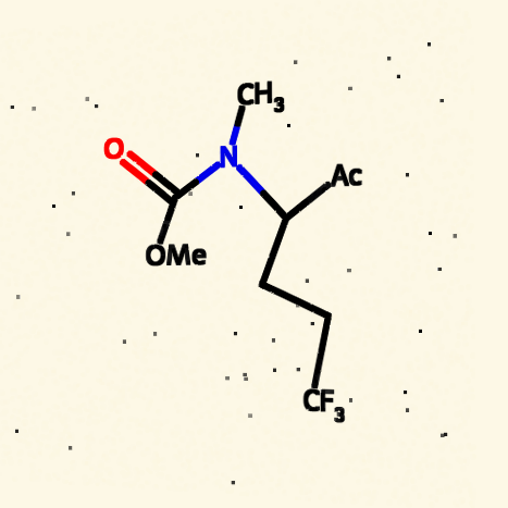 COC(=O)N(C)C(CCC(F)(F)F)C(C)=O